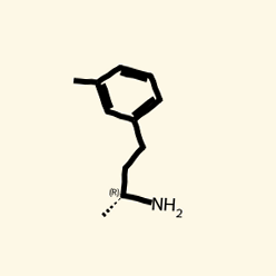 Cc1cccc(CC[C@@H](C)N)c1